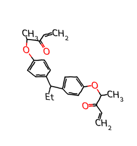 C=CC(=O)C(C)Oc1ccc(C(CC)c2ccc(OC(C)C(=O)C=C)cc2)cc1